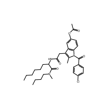 CCCCCCC(NC(=O)Cc1c(C)n(C(=O)c2ccc(Cl)cc2)c2ccc(OC(C)=O)cc12)C(=O)N(C)CCCC